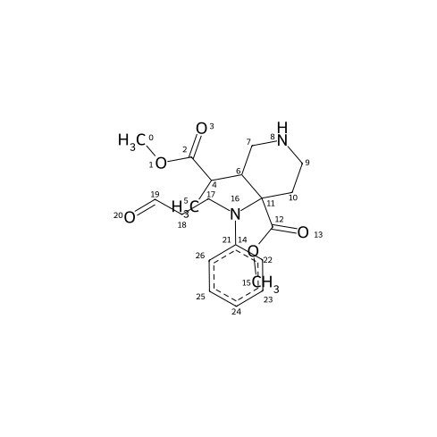 COC(=O)C(C)C1CNCCC1(C(=O)OC)N(CCC=O)c1ccccc1